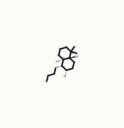 CCCC[C@H]1[C@@H](C)CC[C@H]2C(C)(C)CCC[C@]12C